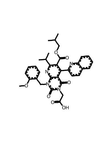 COc1ccccc1Cn1c(=O)n(CC(=O)O)c(=O)c2c(-c3ccc4ccccc4n3)c(C(=O)OCC(C)C)c(C(C)C)nc21